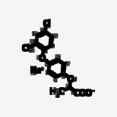 CC(Oc1ccc(Oc2ccc(Cl)cc2Cl)cc1)C(=O)[O-].[Na+]